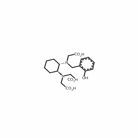 O=C(O)CN(CC(=O)O)[C@H]1CCCC[C@@H]1N(CC(=O)O)Cc1ccccc1O